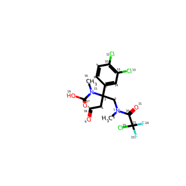 CN(CC(CC=O)(c1ccc(Cl)c(Cl)c1)N(C)C(=O)O)C(=O)C(F)(F)Cl